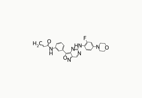 C=CC(=O)Nc1cccc(-c2onc3cnc(Nc4ccc(N5CCOCC5)cc4F)nc23)c1